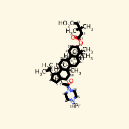 C=C(C)[C@@H]1CC[C@]2(CC(=O)N3CCN(C(C)C)CC3)CC[C@]3(C)[C@H](CC[C@@H]4[C@@]5(C)CC[C@H](OC(=O)CC(C)(C)CC(=O)O)C(C)(C)[C@@H]5CC[C@]43C)[C@@H]12